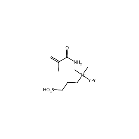 C=C(C)C(N)=O.CCC[N+](C)(C)CCCS(=O)(=O)O